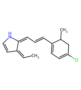 C/C=c1/cc[nH]/c1=C/C=C/C1=CC=C(Cl)CC1C